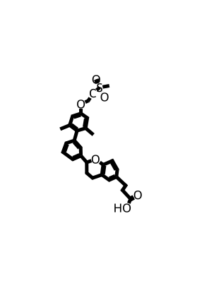 Cc1cc(OCCS(C)(=O)=O)cc(C)c1-c1cccc(C2CCc3cc(CCC(=O)O)ccc3O2)c1